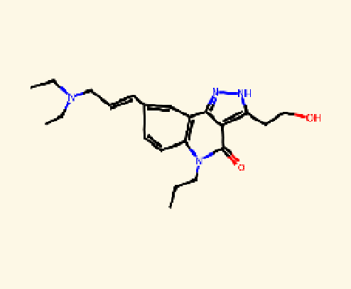 CCCn1c(=O)c2c(CCO)[nH]nc2c2cc(/C=C/CN(CC)CC)ccc21